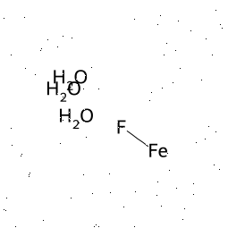 O.O.O.[F][Fe]